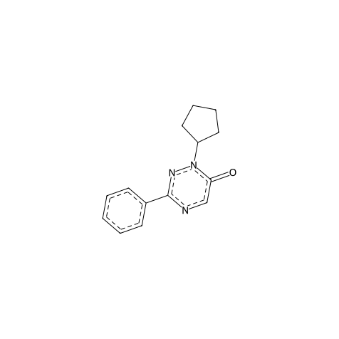 O=c1cnc(-c2ccccc2)nn1C1CCCC1